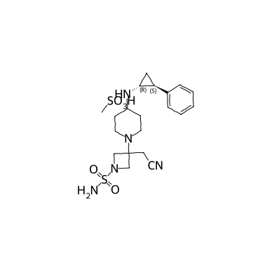 CS(=O)(=O)O.N#CCC1(N2CCC(N[C@@H]3C[C@H]3c3ccccc3)CC2)CN(S(N)(=O)=O)C1